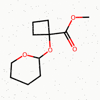 COC(=O)C1(OC2CCCCO2)CCC1